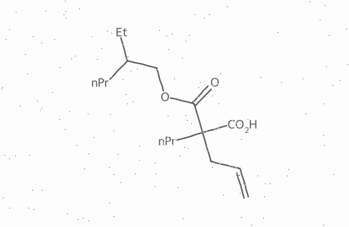 C=CCC(CCC)(C(=O)O)C(=O)OCC(CC)CCC